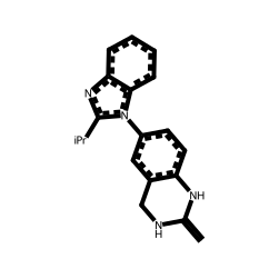 C=C1NCc2cc(-n3c(C(C)C)nc4ccccc43)ccc2N1